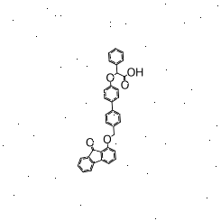 O=C1c2ccccc2-c2cccc(OCc3ccc(-c4ccc(OC(C(=O)O)c5ccccc5)cc4)cc3)c21